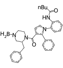 BN1CCN(C(=O)c2ccn(-c3ccccc3NC(=O)CCCC)c2-c2ccccc2)C(Cc2ccccc2)C1